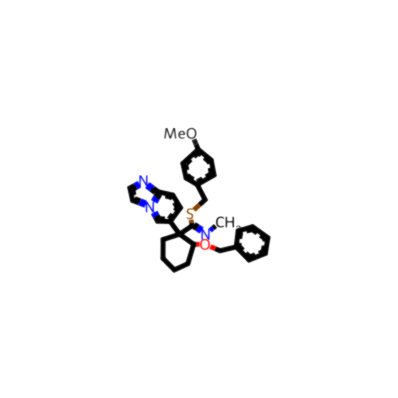 CN=C(SCc1ccc(OC)cc1)C1(c2ccc3nccn3c2)CCCCC1OCc1ccccc1